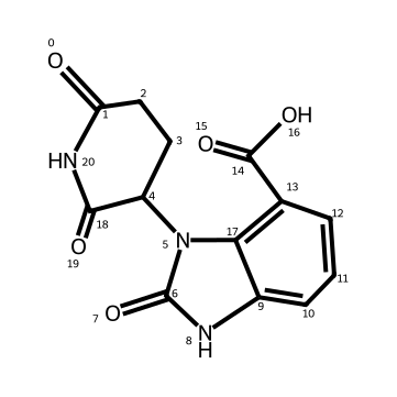 O=C1CCC(n2c(=O)[nH]c3cccc(C(=O)O)c32)C(=O)N1